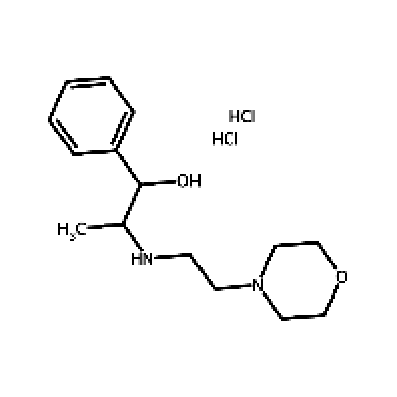 CC(NCCN1CCOCC1)C(O)c1ccccc1.Cl.Cl